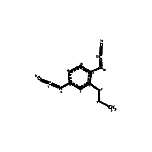 CCCc1cc(N=C=O)ccc1N=C=O